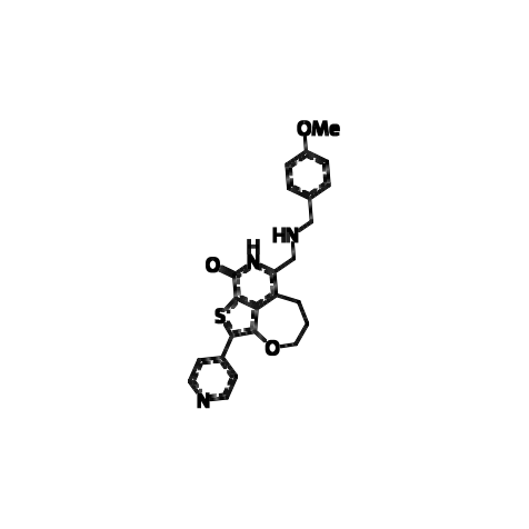 COc1ccc(CNCc2[nH]c(=O)c3sc(-c4ccncc4)c4c3c2CCCO4)cc1